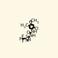 COc1cc(Cl)c(NC(=O)Nc2nnc(C(F)(F)F)s2)cc1C